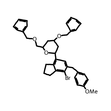 COc1ccc(Cc2cc(C3CC(OCc4ccccc4)CC(COCc4ccccc4)O3)c3c(c2Br)CCC3)cc1